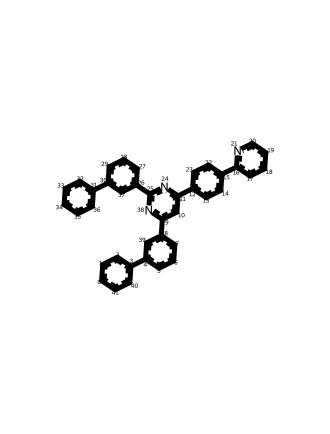 c1ccc(-c2cccc(-c3cc(-c4ccc(-c5ccccn5)cc4)nc(-c4cccc(-c5ccccc5)c4)n3)c2)cc1